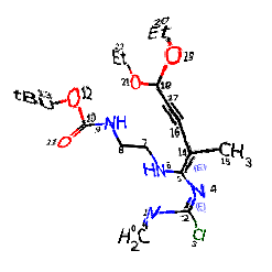 C=N/C(Cl)=N\C(NCCNC(=O)OC(C)(C)C)=C(/C)C#CC(OCC)OCC